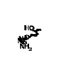 C/C=C(\C=C/CCOc1nnc(N)s1)CO